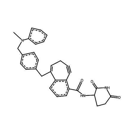 CN(Cc1ccc(CC2=CCC#Cc3c(C(=O)NC4CCC(=O)NC4=O)cccc32)cc1)c1ccccc1